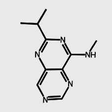 CNc1nc(C(C)C)nc2cncnc12